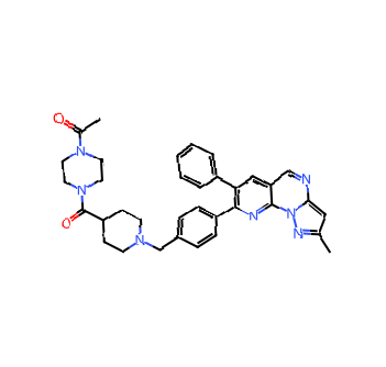 CC(=O)N1CCN(C(=O)C2CCN(Cc3ccc(-c4nc5c(cnc6cc(C)nn65)cc4-c4ccccc4)cc3)CC2)CC1